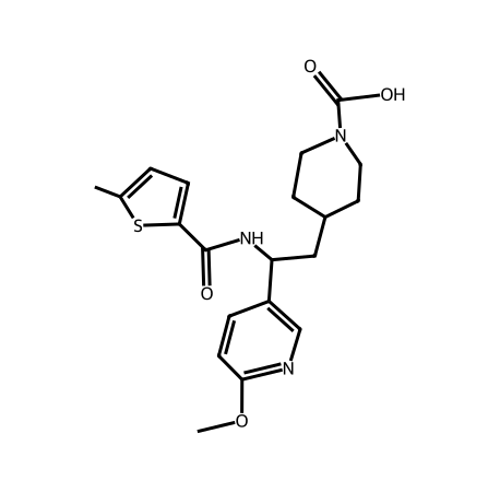 COc1ccc(C(CC2CCN(C(=O)O)CC2)NC(=O)c2ccc(C)s2)cn1